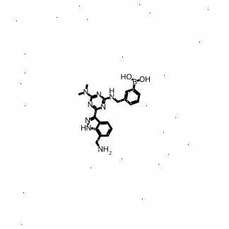 CN(C)c1nc(NCc2cccc(B(O)O)c2)nc(-c2n[nH]c3c(CN)cccc23)n1